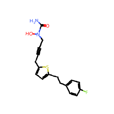 NC(=O)N(O)CC#CCc1ccc(CCc2ccc(F)cc2)s1